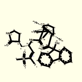 CS(=O)(=O)/C(F)=C\[C@H](C[C@@H]1CCNC1=O)NC(=O)[C@H]1[C@H]2CC[C@H](CC2(F)F)N1C(=O)C1(O)c2ccccc2-c2ccccc21